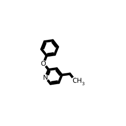 CCc1ccnc(Oc2ccccc2)c1